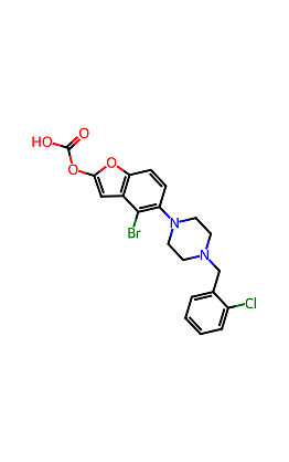 O=C(O)Oc1cc2c(Br)c(N3CCN(Cc4ccccc4Cl)CC3)ccc2o1